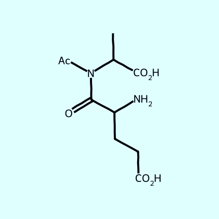 CC(=O)N(C(=O)C(N)CCC(=O)O)C(C)C(=O)O